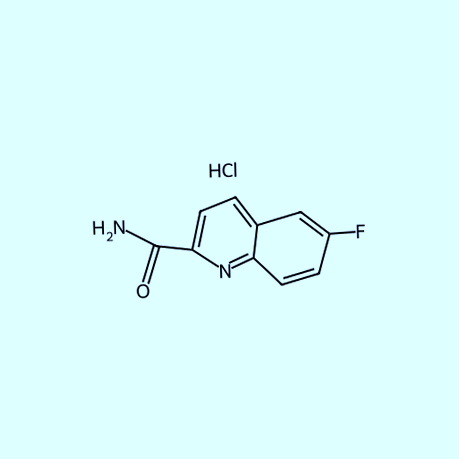 Cl.NC(=O)c1ccc2cc(F)ccc2n1